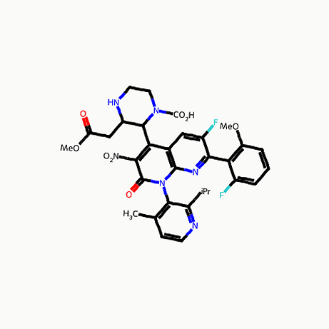 COC(=O)CC1NCCN(C(=O)O)C1c1c([N+](=O)[O-])c(=O)n(-c2c(C)ccnc2C(C)C)c2nc(-c3c(F)cccc3OC)c(F)cc12